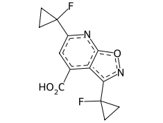 O=C(O)c1cc(C2(F)CC2)nc2onc(C3(F)CC3)c12